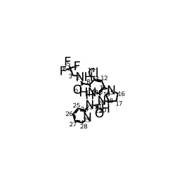 O=C(NCC(F)(F)F)C1NC2=C(C=C1Cl)N1CC[C@@H](C1)N2C(=O)Nc1ccccn1